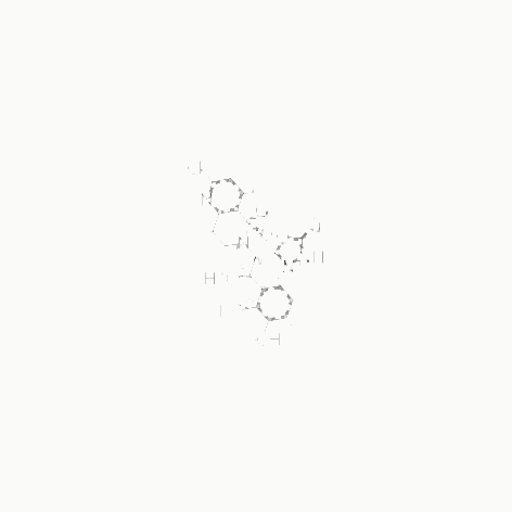 Cc1ccc(F)c([C@@H](C)[C@@H](c2n[nH]c(=O)o2)N2CCc3nc(Cl)ccc3S2(=O)=O)c1C